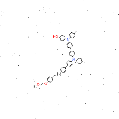 CCOCCOc1ccc(C[CH2][Ge]([CH3])([CH3])[c]2ccc(-c3ccc(N(c4ccc(C)cc4)c4ccc(-c5ccc(N(c6ccc(C)cc6)c6ccc(O)cc6)cc5)cc4)cc3)cc2)cc1